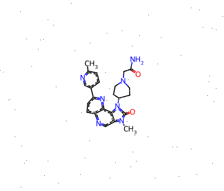 Cc1ccc(-c2ccc3ncc4c(c3n2)n(C2CCN(CC(N)=O)CC2)c(=O)n4C)cn1